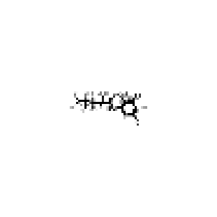 Cc1c(Cl)cc(NC(=O)C(F)(F)C(F)(F)C(F)(F)C(F)F)c(O)c1Cl